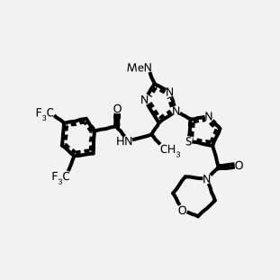 CNc1nc(C(C)NC(=O)c2cc(C(F)(F)F)cc(C(F)(F)F)c2)n(-c2ncc(C(=O)N3CCOCC3)s2)n1